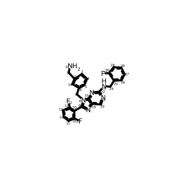 NCc1cccc(Cn2c(-c3c(F)cccc3F)nc3cnc(NCc4ccccc4F)nc32)c1